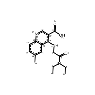 CCN(CC)C(=O)CNc1c(C(=O)O)cnc2ccc(C)cc12